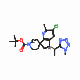 Cc1nc2c(cc1Cl)[C@H](C(C)c1nnnn1C)CC21CCN(C(=O)OC(C)(C)C)CC1